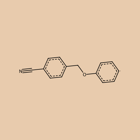 N#Cc1ccc(COc2cc[c]cc2)cc1